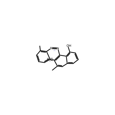 Cc1cc2cccc(O)c2c(/N=N\c2c(C)cccc2C)c1N